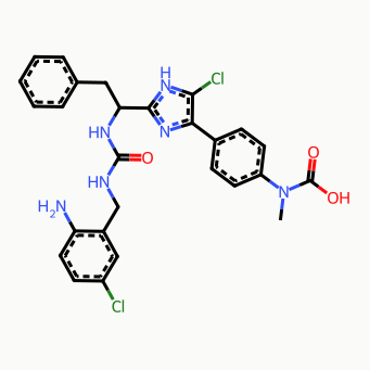 CN(C(=O)O)c1ccc(-c2nc(C(Cc3ccccc3)NC(=O)NCc3cc(Cl)ccc3N)[nH]c2Cl)cc1